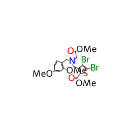 COC(=O)CN(Cc1ccc(OC)cc1OC)Cc1c(C(=O)OC)sc(Br)c1Br